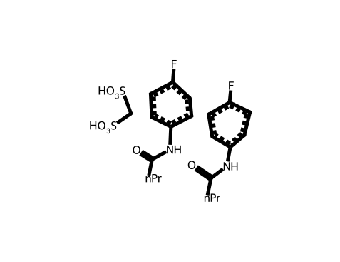 CCCC(=O)Nc1ccc(F)cc1.CCCC(=O)Nc1ccc(F)cc1.O=S(=O)(O)CS(=O)(=O)O